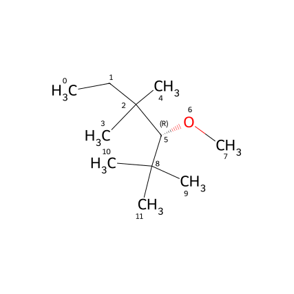 CCC(C)(C)[C@H](OC)C(C)(C)C